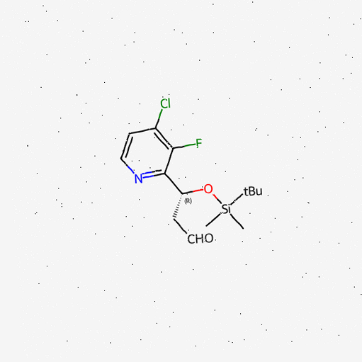 CC(C)(C)[Si](C)(C)O[C@H](CC=O)c1nccc(Cl)c1F